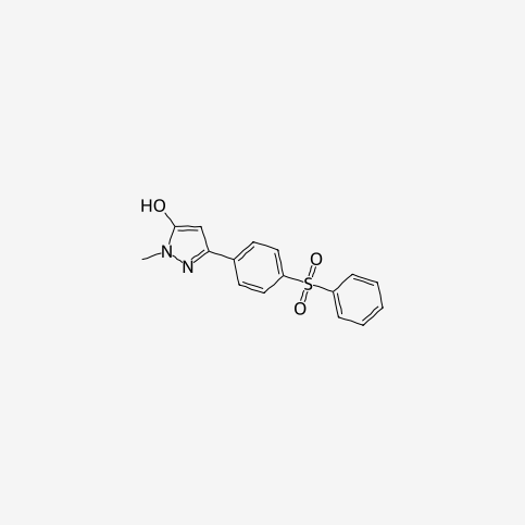 Cn1nc(-c2ccc(S(=O)(=O)c3ccccc3)cc2)cc1O